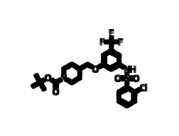 CC(C)(C)OC(=O)N1CCC(COc2cc(NS(=O)(=O)c3ccccc3Cl)cc(C(F)(F)F)c2)CC1